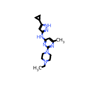 CCN1CCN(c2nc(C)cc(Nc3cc(C4CC4)[nH]n3)n2)CC1